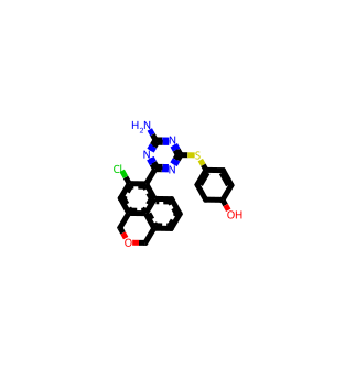 Nc1nc(SC2=CCC(O)C=C2)nc(-c2c(Cl)cc3c4c(cccc24)COC3)n1